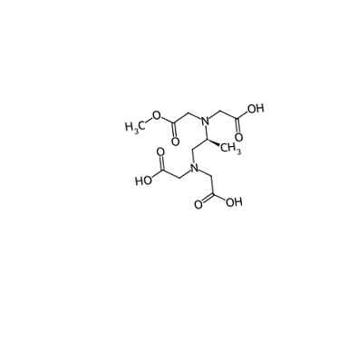 COC(=O)CN(CC(=O)O)[C@@H](C)CN(CC(=O)O)CC(=O)O